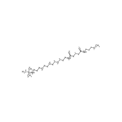 COCCCNC(=O)CCCC(=O)NCCCOCCOCCOCCCNC(C)(C)C